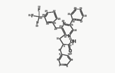 O=C(O)C(Cc1ccccc1)Cc1ncc(-c2ccccc2)nc1Cc1cccc(C(F)(F)F)c1